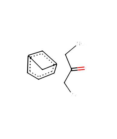 CC(=O)CC(=O)CN=O.c1cc2cc(c1)C2